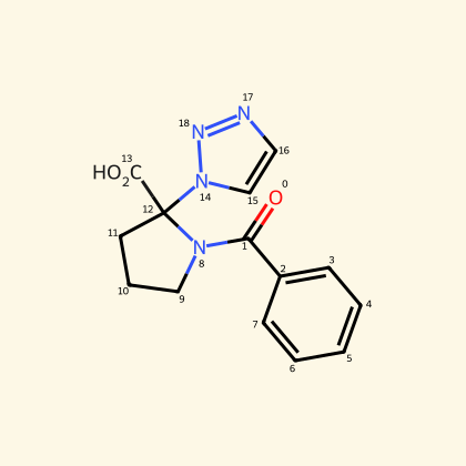 O=C(c1ccccc1)N1CCCC1(C(=O)O)n1ccnn1